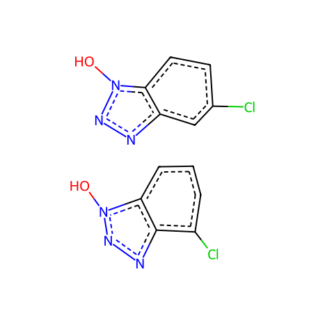 On1nnc2c(Cl)cccc21.On1nnc2cc(Cl)ccc21